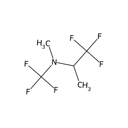 CC(N(C)C(F)(F)F)C(F)(F)F